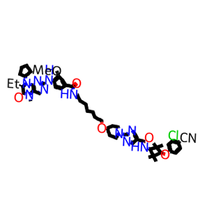 CC[C@@H]1C(=O)N(C)c2cnc(Nc3ccc(C(=O)NCCCCCCCOC4CCN(c5ncc(C(=O)NC6C(C)(C)C(Oc7ccc(C#N)c(Cl)c7)C6(C)C)cn5)CC4)cc3OC)nc2N1C1CCCC1